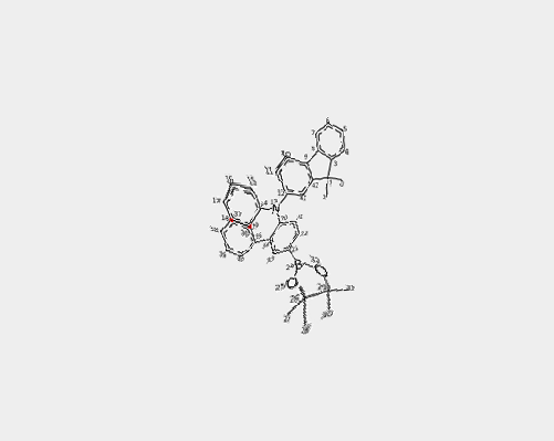 CC1(C)c2ccccc2-c2ccc(N(c3ccccc3)c3ccc(B4OC(C)(C)C(C)(C)O4)cc3-c3ccccc3)cc21